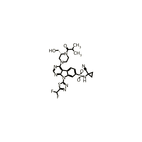 CC(C)C(=O)N1CCN(c2ncnc3c2c2ccc(S(=O)(=O)NC4(C#N)CC4)cc2n3-c2nnc(C(F)F)s2)C[C@@H]1CO